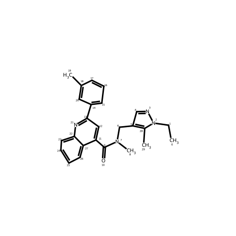 CCn1ncc(CN(C)C(=O)c2cc(-c3cccc(C)c3)nc3ccccc23)c1C